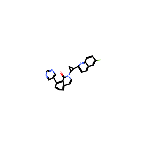 O=c1c2c(-c3cncnc3)cccc2ccn1C1CC1c1ccc2cc(F)ccc2n1